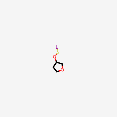 ISOC1CCOC1